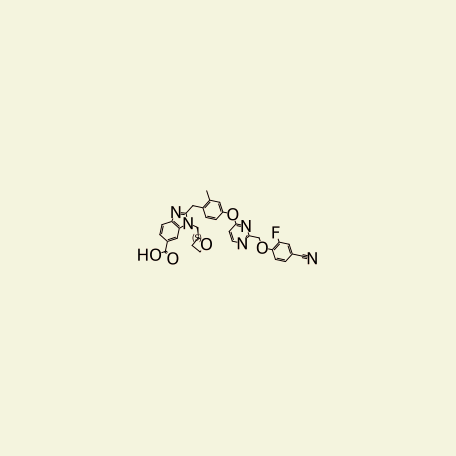 Cc1cc(Oc2ccnc(COc3ccc(C#N)cc3F)n2)ccc1Cc1nc2ccc(C(=O)O)cc2n1C[C@@H]1CCO1